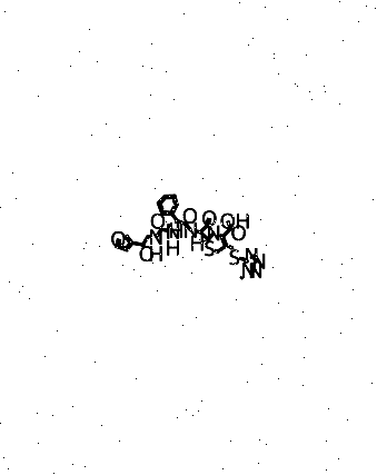 Cn1nnnc1SCC1=C(C(=O)O)N2C(=O)C(NC(=O)C(NC(=O)NCC(=O)c3ccoc3)c3ccccc3)[C@@H]2SC1